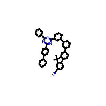 CC1(C)c2cc(C#N)ccc2-c2ccc(-c3cccc(-c4cccc(-c5nc(-c6ccccc6)nc(-c6ccc(-c7ccccc7)cc6)n5)c4)c3)cc21